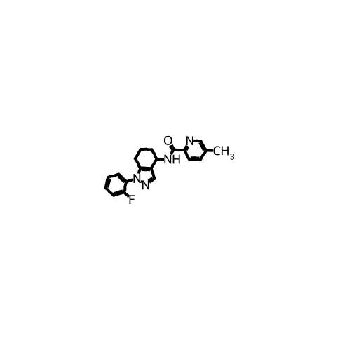 Cc1ccc(C(=O)NC2CCCc3c2cnn3-c2ccccc2F)nc1